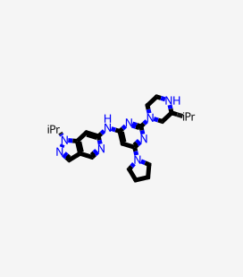 CC(C)C1CN(c2nc(Nc3cc4c(cn3)cnn4C(C)C)cc(N3CCCC3)n2)CCN1